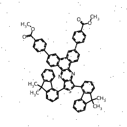 COC(=O)c1ccc(-c2ccc3c(c2)c2cc(-c4ccc(C(=O)OC)cc4)ccc2c2nc4c(-c5cccc6c5-c5ccccc5C6(C)C)sc(-c5cccc6c5-c5ccccc5C6(C)C)c4nc32)cc1